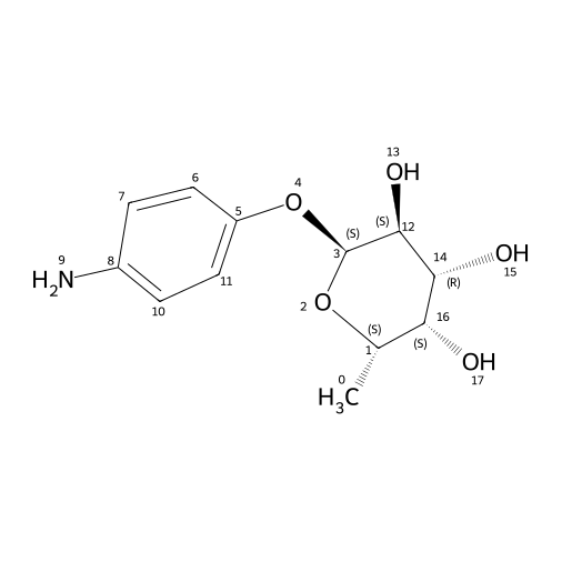 C[C@@H]1O[C@@H](Oc2ccc(N)cc2)[C@@H](O)[C@H](O)[C@@H]1O